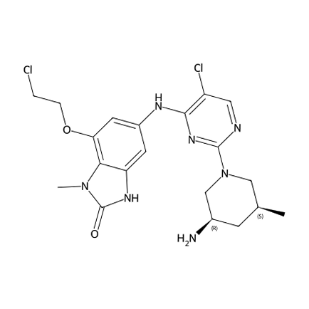 C[C@H]1C[C@@H](N)CN(c2ncc(Cl)c(Nc3cc(OCCCl)c4c(c3)[nH]c(=O)n4C)n2)C1